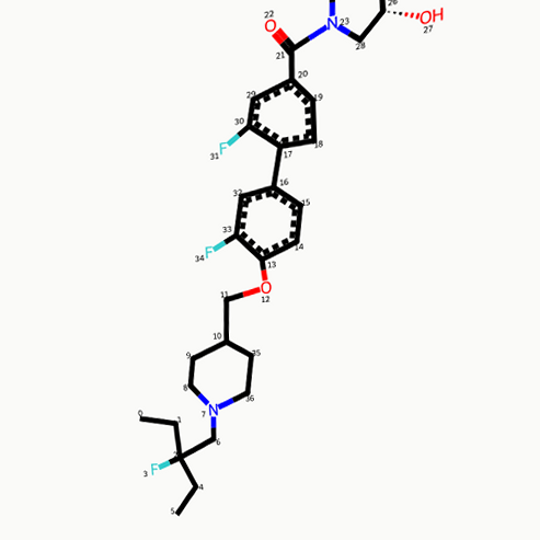 CCC(F)(CC)CN1CCC(COc2ccc(-c3ccc(C(=O)N4CC[C@H](O)C4)cc3F)cc2F)CC1